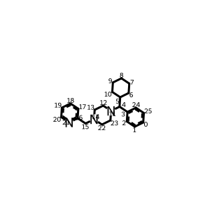 c1ccc(C(C2CCCCC2)N2CCN(Cc3ccccn3)CC2)cc1